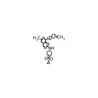 Cc1cc2cnc(NC3CCN(S(=O)(=O)C4CC4)CC3)nc2c(N2CC3(CCN(C)C3)C2)n1